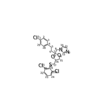 Clc1ccc(CCC2(Cn3ccnc3)OCC(CSc3c(Cl)cccc3Cl)O2)cc1